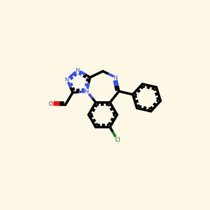 O=Cc1nnc2n1-c1ccc(Cl)cc1C(c1ccccc1)=NC2